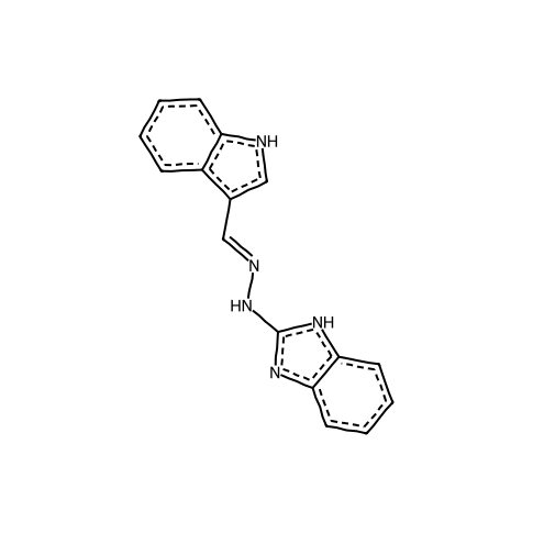 C(=N\Nc1nc2ccccc2[nH]1)/c1c[nH]c2ccccc12